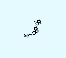 COc1cccc(F)c1COc1ccc2c(c1)OCC21CCN(CCC(=O)OC(C)(C)C)CC1